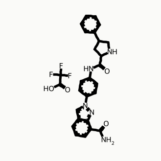 NC(=O)c1cccc2cn(-c3ccc(NC(=O)C4CC(c5ccccc5)CN4)cc3)nc12.O=C(O)C(F)(F)F